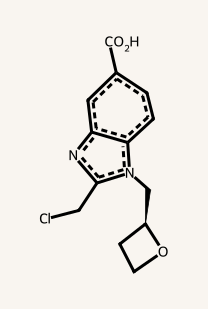 O=C(O)c1ccc2c(c1)nc(CCl)n2C[C@@H]1CCO1